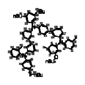 CCCCOc1cc(C)cc(N(c2cccc(C)c2)c2cccc(-c3ccc(N(c4cc(CCCC)cc(CCCC)c4)c4cccc(-c5cccc(N(c6ccc(SCCCC)cc6)c6ccccc6C)c5)c4)cc3)c2)c1